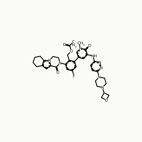 CC(=O)OCc1c(-c2cc(Nc3ccc(N4CCN(C5COC5)CC4)nn3)c(=O)n(C)c2)cc(F)cc1N1CCn2c(cc3c2CCCC3)C1=O